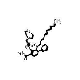 C=CC=CCC=CC=CC=C(C)c1c(-c2ccccc2)ccc(C(N)=O)c1OCCN1CCOCC1